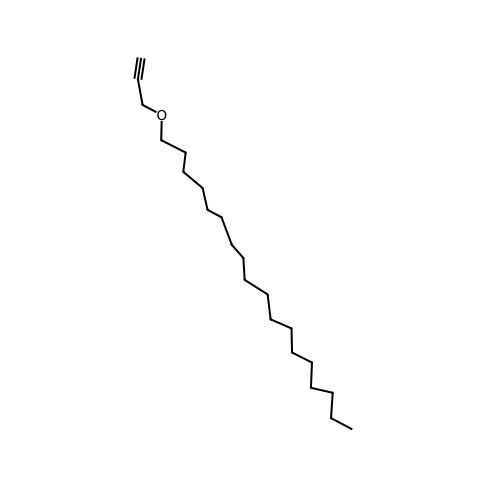 C#CCOCCCCCCCCCCCCCCCCCC